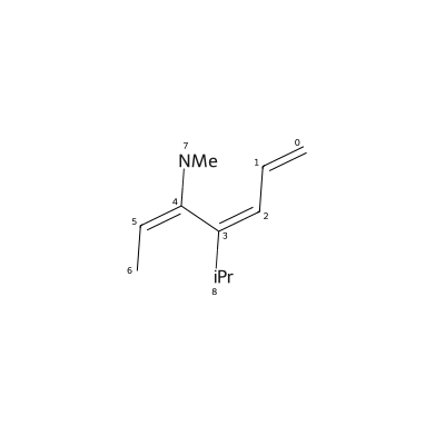 C=C/C=C(\C(=C/C)NC)C(C)C